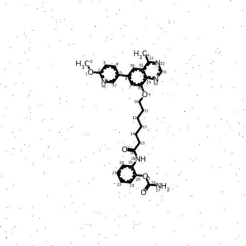 COc1ccc(-c2cc(OCCCCCCC(=O)Nc3ccccc3OC(N)=O)c3ncnc(C)c3c2)cn1